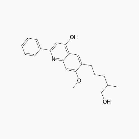 COc1cc2nc(-c3ccccc3)cc(O)c2cc1CCCC(C)CO